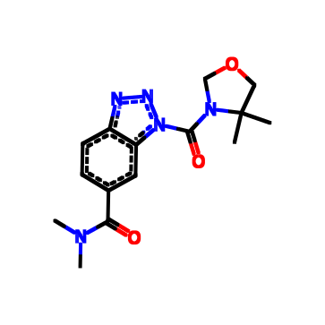 CN(C)C(=O)c1ccc2nnn(C(=O)N3COCC3(C)C)c2c1